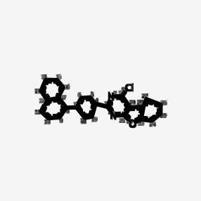 Clc1nc(-c2ccc(-c3cccc4ccccc34)cc2)nc2oc3ccccc3c12